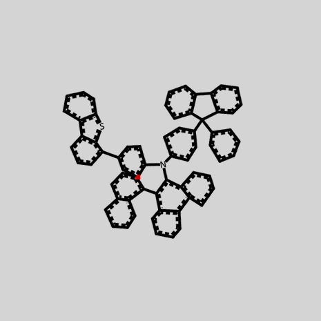 c1ccc(C2(c3ccc(N(c4ccc(-c5cccc6c5sc5ccccc56)cc4)c4c(-c5cccc6ccccc56)c5ccccc5c5ccccc45)cc3)c3ccccc3-c3ccccc32)cc1